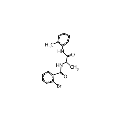 Cc1ccccc1NC(=O)C(C)NC(=O)c1ccccc1Br